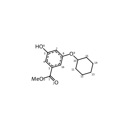 COC(=O)c1cc(O)cc(OC2CCCCC2)c1